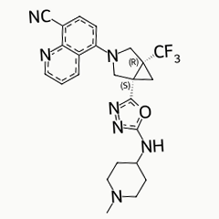 CN1CCC(Nc2nnc([C@]34CN(c5ccc(C#N)c6ncccc56)C[C@@]3(C(F)(F)F)C4)o2)CC1